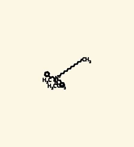 CCCCCCCCCCCCCCCC[n+]1c(CC(C)c2ccccc2)cn(C(C)C)c1Cc1ccccc1